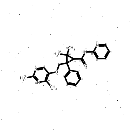 Cc1ncc(OCC2(c3ccccc3)C(C(=O)Nc3ccccn3)C2(C)C)c(C)n1